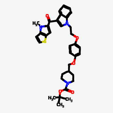 Cn1c(C(=O)c2cn(CCOc3ccc(OCC4CCN(C(=O)OC(C)(C)C)CC4)cc3)c3ccccc23)cc2sccc21